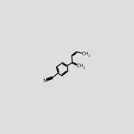 C=C(/C=C\C)c1ccc(C#N)cc1